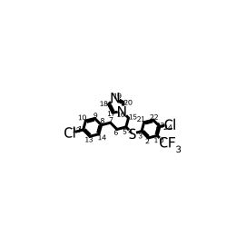 FC(F)(F)c1cc(SC(CCc2ccc(Cl)cc2)Cn2ccnc2)ccc1Cl